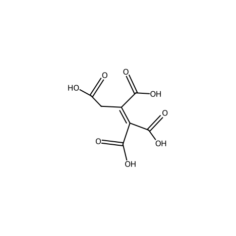 O=C(O)CC(C(=O)O)=C(C(=O)O)C(=O)O